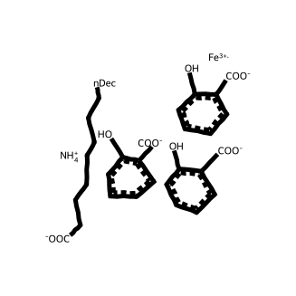 CCCCCCCCCCCCCCCCCC(=O)[O-].O=C([O-])c1ccccc1O.O=C([O-])c1ccccc1O.O=C([O-])c1ccccc1O.[Fe+3].[NH4+]